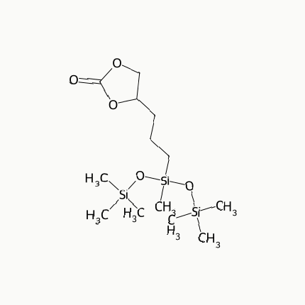 C[Si](C)(C)O[Si](C)(CCCC1COC(=O)O1)O[Si](C)(C)C